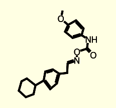 COc1ccc(NC(=O)ON=CCc2ccc(C3CCCCC3)cc2)cc1